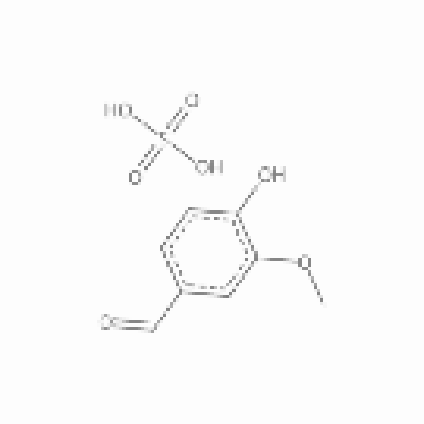 COc1cc(C=O)ccc1O.O=S(=O)(O)O